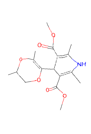 COC(=O)C1=C(C)NC(C)=C(C(=O)OC)C1C1=C(C)OC(C)CO1